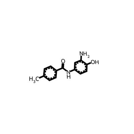 Cc1ccc(C(=O)Nc2ccc(O)c(N)c2)cc1